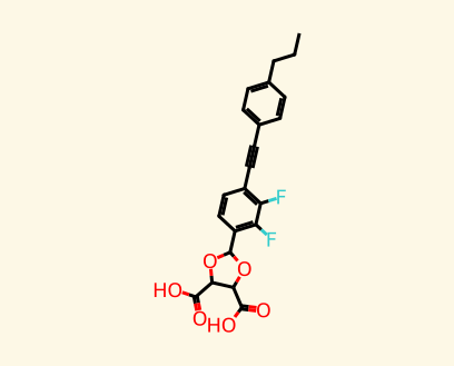 CCCc1ccc(C#Cc2ccc(C3OC(C(=O)O)C(C(=O)O)O3)c(F)c2F)cc1